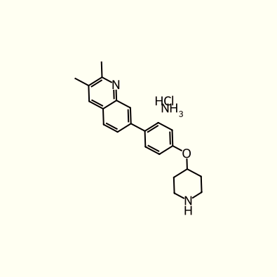 Cc1cc2ccc(-c3ccc(OC4CCNCC4)cc3)cc2nc1C.Cl.N